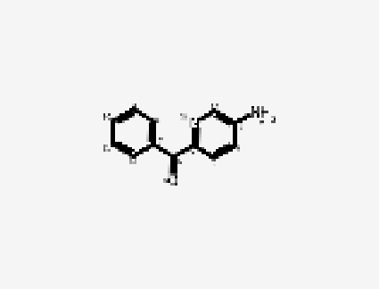 Nc1ccc(C(=O)c2ccccc2)nc1